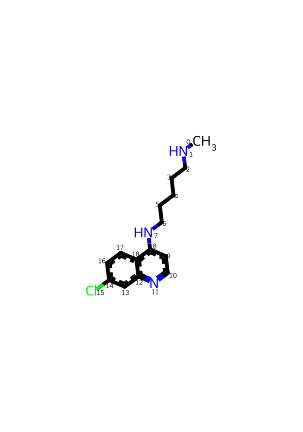 CNCCCCCNc1ccnc2cc(Cl)ccc12